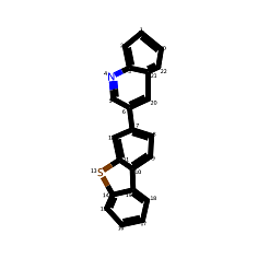 c1ccc2ncc(-c3ccc4c(c3)sc3ccccc34)cc2c1